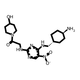 N[C@H]1CC[C@H](CNc2nc(NCC(=O)N3CCC(O)CC3)ncc2[N+](=O)[O-])CC1